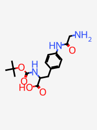 CC(C)(C)OC(=O)NC(Cc1ccc(NC(=O)CN)cc1)C(=O)O